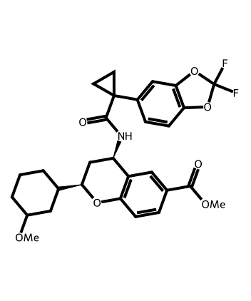 COC(=O)c1ccc2c(c1)[C@H](NC(=O)C1(c3ccc4c(c3)OC(F)(F)O4)CC1)C[C@H](C1CCCC(OC)C1)O2